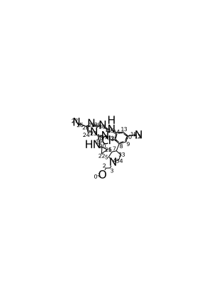 COCCN1CCC(c2cc(C#N)cc(Nc3nc(NC4CC4)n4cc(C#N)nc4n3)c2Cl)CC1